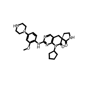 COc1cc(N2CCNCC2)ccc1Nc1ncc2c(n1)N(C1CCCC1)C(=O)[C@]1(CCNC1=O)C2